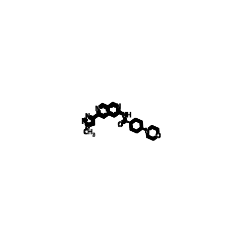 Cn1cc(-c2cc3cc(NC(=O)[C@H]4CC[C@H](N5CCOCC5)CC4)ncc3cn2)nn1